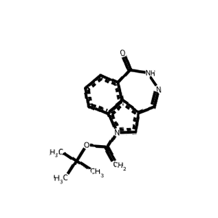 C=C(OC(C)(C)C)n1cc2c3c(cccc31)C(=O)NN=C2